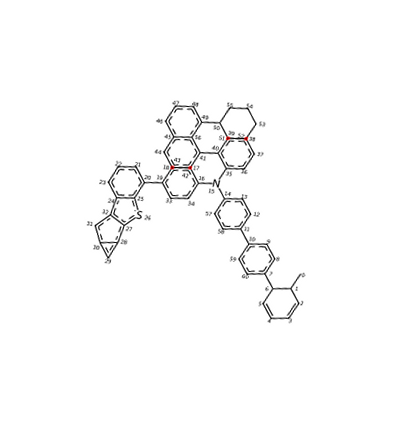 CC1C=CC=CC1c1ccc(-c2ccc(N(c3ccc(-c4cccc5c4sc4c6cc-6cc45)cc3)c3ccccc3-c3cccc4cccc(C5CCCCC5)c34)cc2)cc1